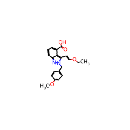 CCO/C=C/c1c2c(C(=O)O)cccc2nn1Cc1ccc(OC)cc1